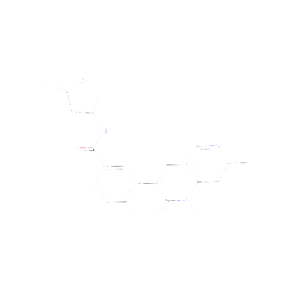 Cc1cc2c(cn1)cc(-c1cc(C(=O)NC3CC(C)NO3)ccc1C)c(=O)n2C